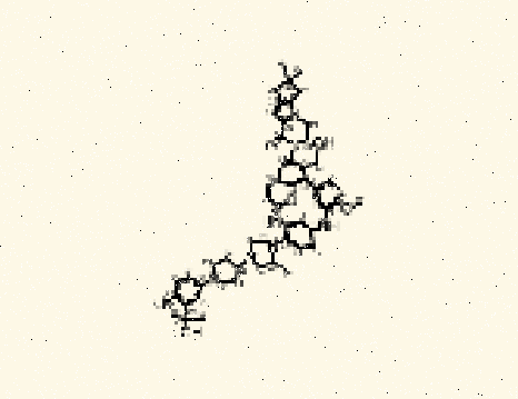 C=CC(=O)Nc1cc(Nc2nc(-c3ccnc(N4CCn5c(cc6c5CC(C)(C)C6)C4=O)c3CO)cnc2OC)ccc1N1CCN(C2CCN(c3ccc(Cl)c(C(C)(C)O)c3)CC2)C[C@@H]1C